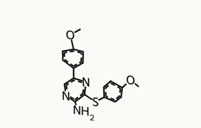 COc1ccc(Sc2nc(-c3ccc(OC)cc3)cnc2N)cc1